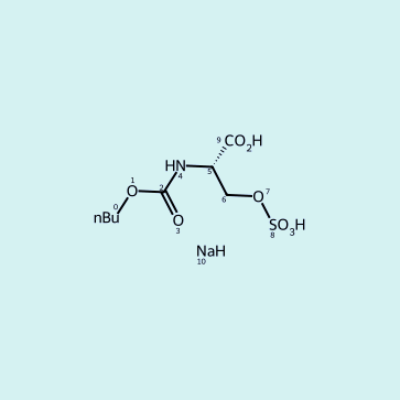 CCCCOC(=O)N[C@@H](COS(=O)(=O)O)C(=O)O.[NaH]